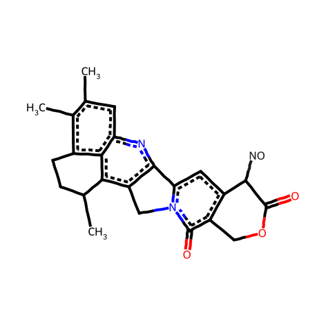 Cc1cc2nc3c(c4c2c(c1C)CCC4C)Cn1c-3cc2c(c1=O)COC(=O)C2N=O